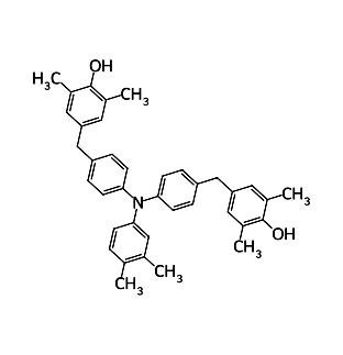 Cc1ccc(N(c2ccc(Cc3cc(C)c(O)c(C)c3)cc2)c2ccc(Cc3cc(C)c(O)c(C)c3)cc2)cc1C